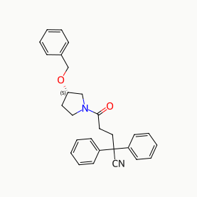 N#CC(CCC(=O)N1CC[C@H](OCc2ccccc2)C1)(c1ccccc1)c1ccccc1